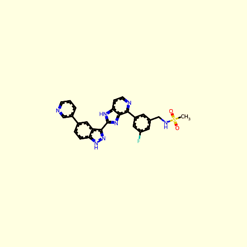 CS(=O)(=O)NCc1cc(F)cc(-c2nccc3[nH]c(-c4n[nH]c5ccc(-c6cccnc6)cc45)nc23)c1